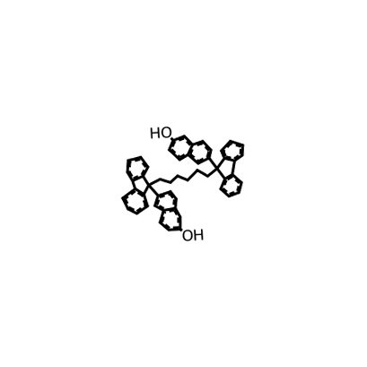 Oc1ccc2cc(C3(CCCCCCC4(c5ccc6cc(O)ccc6c5)c5ccccc5-c5ccccc54)c4ccccc4-c4ccccc43)ccc2c1